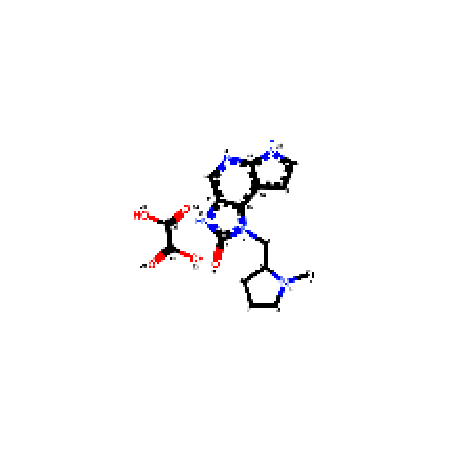 CCN1CCCC1Cn1c(=O)[nH]c2cnc3[nH]ccc3c21.O=C(O)C(=O)O